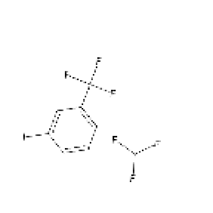 FC(F)(F)c1cccc(I)c1.FC(F)F